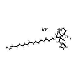 CCCCCCCCCCCCCCCCOC(=O)C(CN1C=CSC1)(SC)C1CCCNC1.Cl